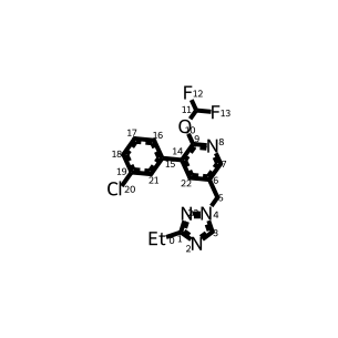 CCc1ncn(Cc2cnc(OC(F)F)c(-c3cccc(Cl)c3)c2)n1